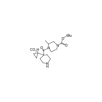 CC1CN(C(=O)OC(C)(C)C)CCN1C(=O)C1(C2(C(=O)O)CC2)CCNCC1